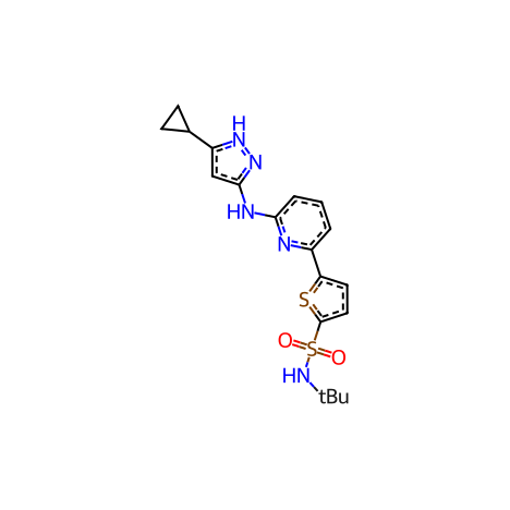 CC(C)(C)NS(=O)(=O)c1ccc(-c2cccc(Nc3cc(C4CC4)[nH]n3)n2)s1